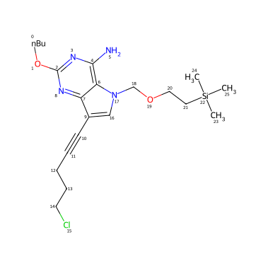 CCCCOc1nc(N)c2c(n1)c(C#CCCCCl)cn2COCC[Si](C)(C)C